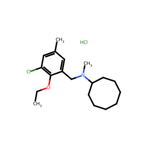 CCOc1c(Cl)cc(C)cc1CN(C)C1CCCCCCC1.Cl